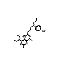 CCCN(CCCC(=O)Nc1c(SC)nc(C)nc1N(CC)CC)c1ccc(O)cc1